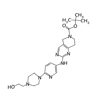 CC(C)(C)OC(=O)N1CCc2nc(Nc3ccc(N4CCN(CCO)CC4)nc3)ncc2C1